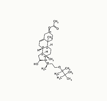 CC(=O)O[C@H]1CCC2(C)C(=CC[C@@H]3[C@@H]2CC[C@]2(C)[C@@H]([C@H](C)CCO[Si](C)(C)C(C)(C)C)C(O)C[C@@H]32)C1